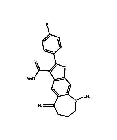 C=C1CCCN(C)c2cc3oc(-c4ccc(F)cc4)c(C(=O)NC)c3cc21